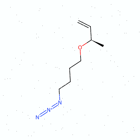 C=C[C@@H](C)OCCCCN=[N+]=[N-]